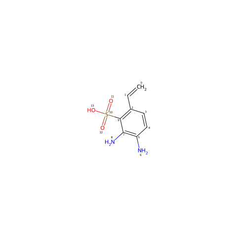 C=Cc1ccc(N)c(N)c1S(=O)(=O)O